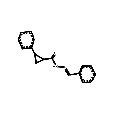 O=C(N/N=C/c1ccccc1)C1CC1c1ccccc1